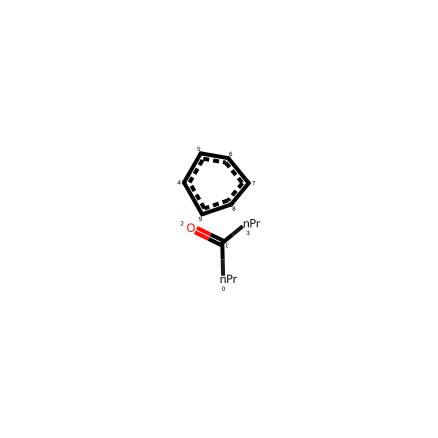 CCCC(=O)CCC.c1ccccc1